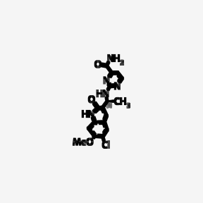 COc1cc2[nH]c(=O)c([C@H](C)Nc3nccc(C(N)=O)n3)cc2cc1Cl